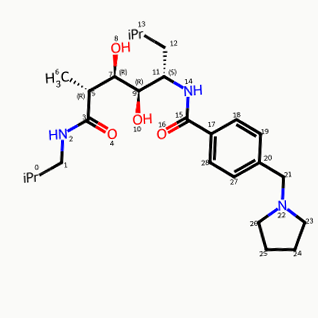 CC(C)CNC(=O)[C@H](C)[C@@H](O)[C@H](O)[C@H](CC(C)C)NC(=O)c1ccc(CN2CCCC2)cc1